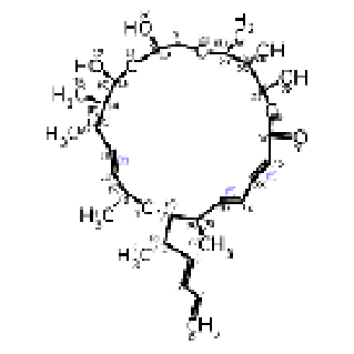 C=CC=C[C@H](C)[C@@H]1C[C@H](C)/C=C/[C@H](C)[C@@H](C)[C@@H](O)C[C@@H](O)CC[C@@H](C)[C@H](O)[C@@H](O)OC(=O)/C=C/C=C/[C@H]1C